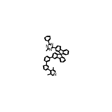 Cc1nc(-c2ccccc2)nc(-c2ccc3c(c2)C2(c4ccccc4-c4cc(-c5cccc(-c6cccc(-c7c(C)cncc7C)c6)c5)ccc42)c2ccccc2-3)n1